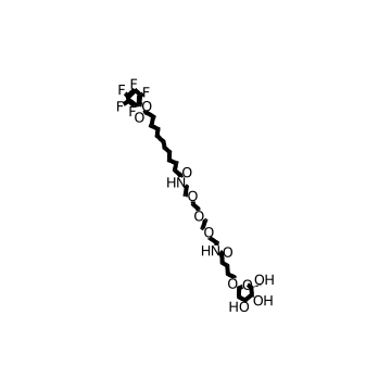 O=C(CCCCCCCCCCC(=O)Oc1c(F)c(F)c(F)c(F)c1F)NCCOCCOCCOCCNC(=O)CCCCO[C@H]1C[C@@H](O)[C@@H](O)[C@@H](CO)O1